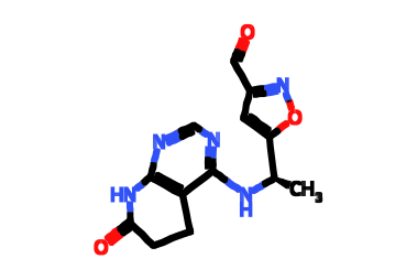 C[C@@H](Nc1ncnc2c1CCC(=O)N2)c1cc(C=O)no1